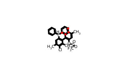 Cc1cc(OS(=O)(=O)C(F)(F)F)c(-c2c(P(c3ccccc3)c3ccccc3)cc(C)c(Cl)c2C)c(C)c1Cl